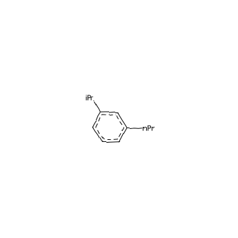 C[CH]Cc1cccc(C(C)C)c1